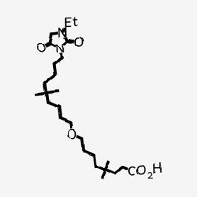 CCN1CC(=O)N(CCCCC(C)(C)CCCCOCCCCC(C)(C)CCC(=O)O)C1=O